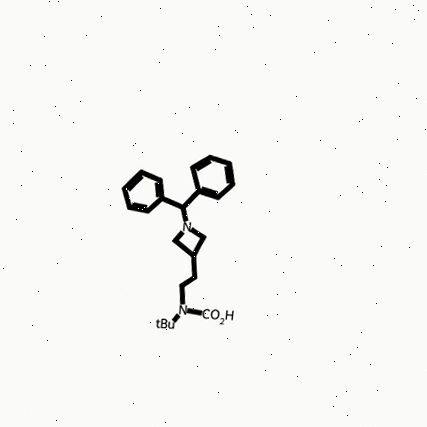 CC(C)(C)N(CCC1CN(C(c2ccccc2)c2ccccc2)C1)C(=O)O